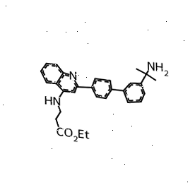 CCOC(=O)CCNc1cc(-c2ccc(-c3cccc(C(C)(C)N)c3)cc2)nc2ccccc12